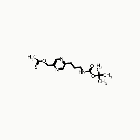 CC(=S)OCc1cnc(CCCNC(=O)OC(C)(C)C)cn1